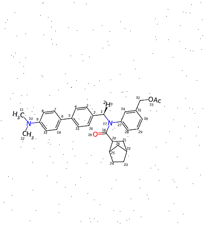 [2H][C@H](c1ccc(-c2ccc(N(C)C)cc2)cc1)N(C(=O)C1CC2CCC1C2)c1cccc(COC(C)=O)c1